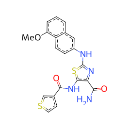 COc1cccc2cc(Nc3nc(C(N)=O)c(NC(=O)c4ccsc4)s3)ccc12